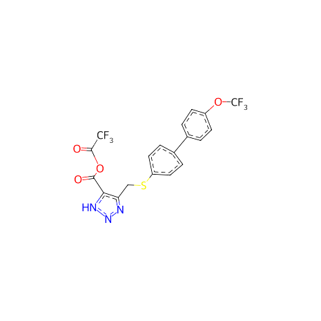 O=C(OC(=O)C(F)(F)F)c1[nH]nnc1CSc1ccc(-c2ccc(OC(F)(F)F)cc2)cc1